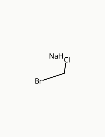 ClCBr.[NaH]